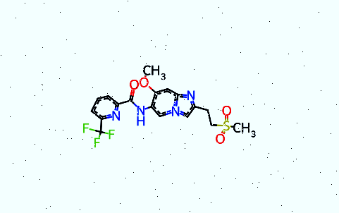 COc1cc2nc(CCS(C)(=O)=O)cn2cc1NC(=O)c1cccc(C(F)(F)F)n1